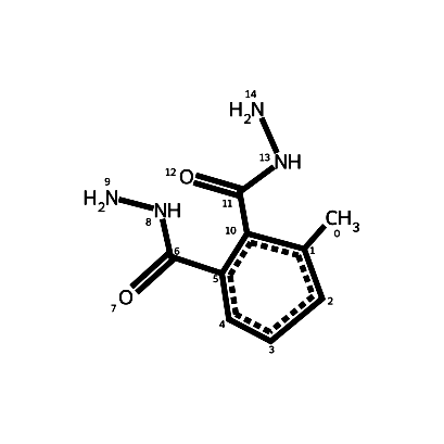 Cc1cccc(C(=O)NN)c1C(=O)NN